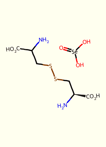 NC(CSSC[C@H](N)C(=O)O)C(=O)O.O=[Se](O)O